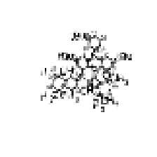 Cc1cc2c(cc1N1c3cc(C(C)(C)C)cc4c3B(c3ccc(C(C)(C)C)cc3N4c3cccc(C(C)(C)C)c3)c3c1oc1c3C(C)(C)CCC1(C)C)C(C)(C)CCC2(C)C